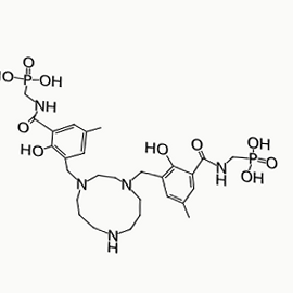 Cc1cc(CN2CCCNCCCN(Cc3cc(C)cc(C(=O)NCP(=O)(O)O)c3O)CC2)c(O)c(C(=O)NCP(=O)(O)O)c1